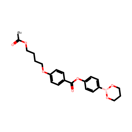 CCC(C)C(=O)OCCCCOc1ccc(C(=O)Oc2ccc(B3OCCCO3)cc2)cc1